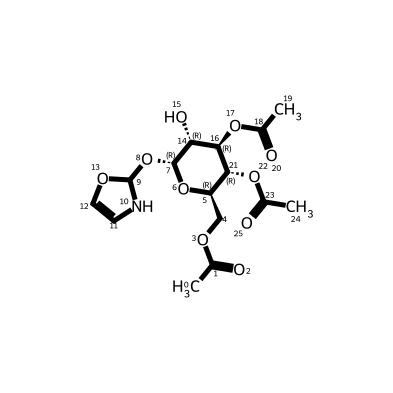 CC(=O)OC[C@H]1O[C@H](OC2NC=CO2)[C@H](O)[C@@H](OC(C)=O)[C@@H]1OC(C)=O